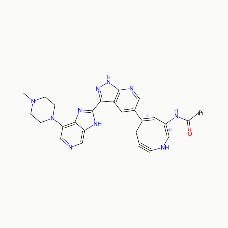 CC(C)C(=O)NC1=C/NC#CC/C(c2cnc3[nH]nc(-c4nc5c(N6CCN(C)CC6)cncc5[nH]4)c3c2)=C\1